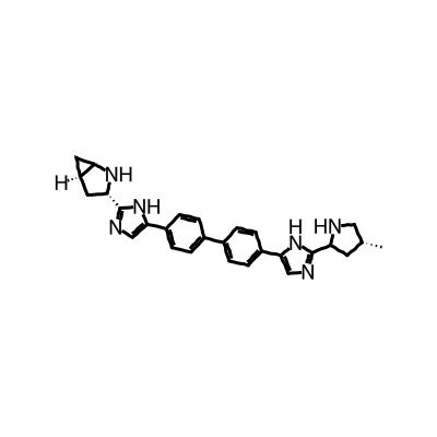 C[C@H]1CNC(c2ncc(-c3ccc(-c4ccc(-c5cnc([C@@H]6C[C@H]7CC7N6)[nH]5)cc4)cc3)[nH]2)C1